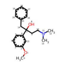 COc1cccc(C(O)(CCN(C)C)Cc2ccccc2)c1